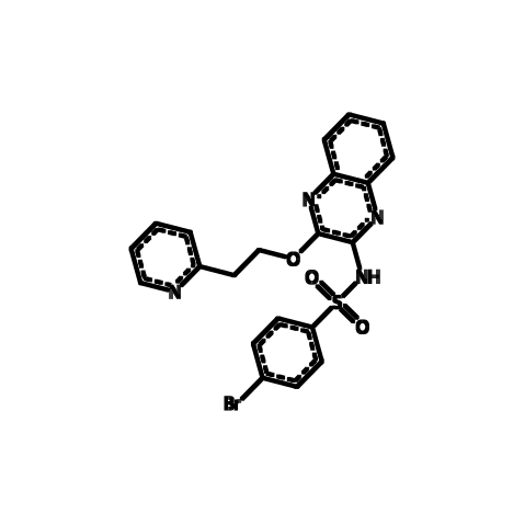 O=S(=O)(Nc1nc2ccccc2nc1OCCc1ccccn1)c1ccc(Br)cc1